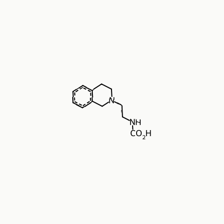 O=C(O)NCCN1CCc2ccccc2C1